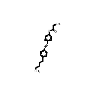 C=CC(=O)Oc1ccc(/N=N/c2ccc(CCCCC)cc2)cc1